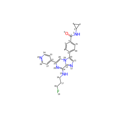 O=C(NC1CC1)c1ccc(-c2cnc3c(NCCCF)nc(-c4ccncc4)cn23)cc1